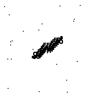 C=CC(=O)OC(F)(F)C(F)(F)C(F)(F)C(F)(F)C(F)(F)C(F)(F)[Si](C)(C)C(F)(F)C(F)(F)C(F)(F)C(F)(F)C(F)(F)C(F)(F)OC(=O)C=C